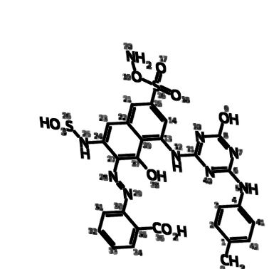 Cc1ccc(Nc2nc(O)nc(Nc3cc(S(=O)(=O)ON)cc4cc(NS(=O)(=O)O)c(N=Nc5ccccc5C(=O)O)c(O)c34)n2)cc1